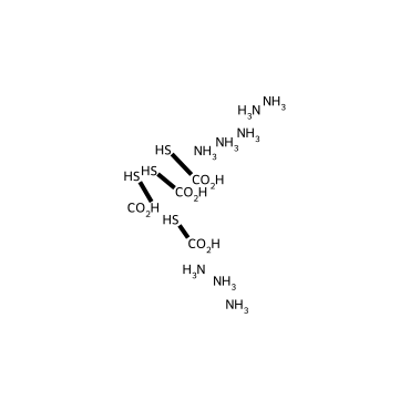 N.N.N.N.N.N.N.N.O=C(O)S.O=C(O)S.O=C(O)S.O=C(O)S